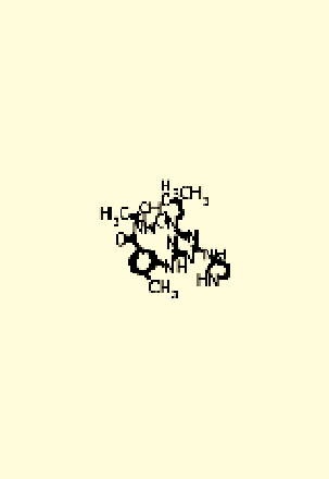 Cc1ccc(C(=O)NC(C)C)cc1Nc1nc(N[C@H]2CCNC2)nc(N(C)CC(C)C)n1